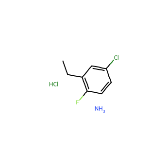 CCc1cc(Cl)ccc1F.Cl.N